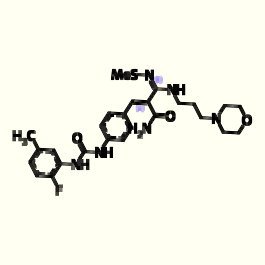 CS/N=C(NCCCN1CCOCC1)\C(=C\c1ccc(NC(=O)Nc2cc(C)ccc2F)cc1)C(N)=O